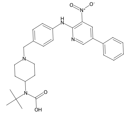 CC(C)(C)N(C(=O)O)C1CCN(Cc2ccc(Nc3ncc(-c4ccccc4)cc3[N+](=O)[O-])cc2)CC1